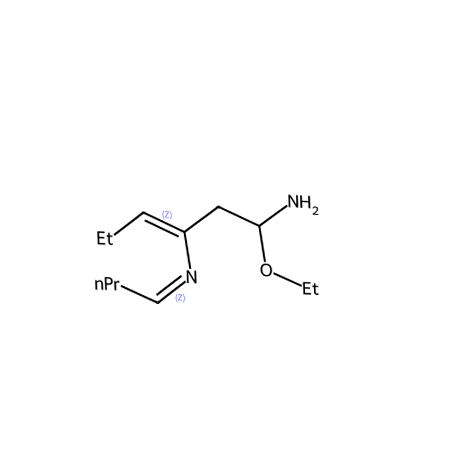 CC/C=C(CC(N)OCC)\N=C/CCC